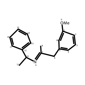 COc1cccc(C/C(C)=N/C(C)c2ccccc2)c1